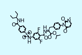 CCC(CC)NC(=O)c1ccc(S(=O)(=O)Nc2cc(F)c(C(=O)N[C@@H](Cc3ccc(-n4c(=O)ccn(C)c4=O)cc3)C(=O)OC(C)C)c(F)c2)cc1